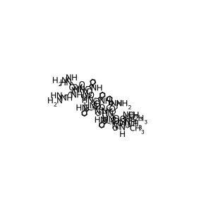 CC[C@H](C)[C@H](NC(=O)[C@H](CC(C)C)NC(=O)[C@@H]1CCCN1C(=O)[C@H](Cc1c[nH]c2ccccc12)NC(=O)[C@H](CCCCN)NC(=O)[C@H](Cc1c[nH]c2ccccc12)NC(=O)[C@@H]1CCCN1C(=O)[C@H](Cc1c[nH]c2ccccc12)NC(=O)[C@H](Cc1c[nH]c2ccccc12)NC(=O)[C@@H]1CCCN1C(=O)[C@H](Cc1c[nH]c2ccccc12)NC(=O)[C@H](CCCNC(=N)N)NC(=O)[C@@H](N)CCCNC(=N)N)C(N)=O